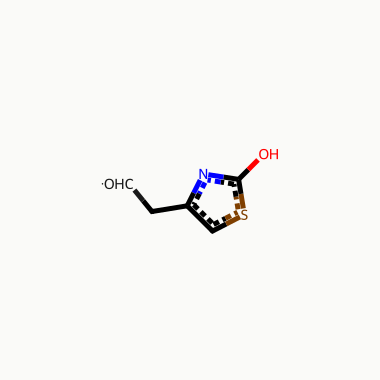 O=[C]Cc1csc(O)n1